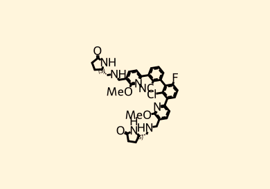 COc1nc(-c2ccc(F)c(-c3cccc(-c4ccc(CNC[C@@H]5CCC(=O)N5)c(OC)n4)c3C#N)c2Cl)ccc1CNC[C@@H]1CCC(=O)N1